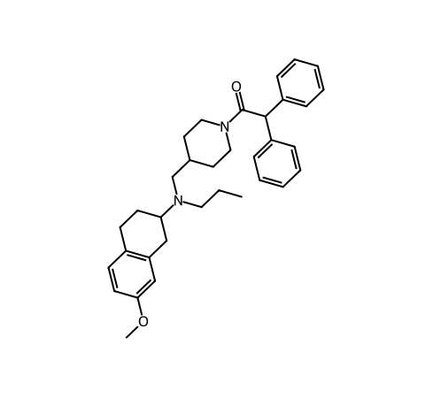 CCCN(CC1CCN(C(=O)C(c2ccccc2)c2ccccc2)CC1)C1CCc2ccc(OC)cc2C1